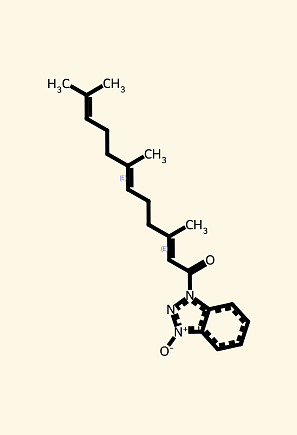 CC(C)=CCC/C(C)=C/CC/C(C)=C/C(=O)n1n[n+]([O-])c2ccccc21